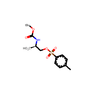 Cc1ccc(S(=O)(=O)OC[C@H](NC(=O)OC(C)(C)C)C(=O)O)cc1